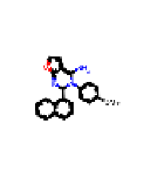 COc1ccc(N2C(N)=c3ccoc3=NC2c2cccc3ccccc23)cc1